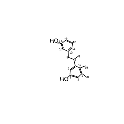 Cc1cc(O)cc(C(C)Cc2cccc(O)c2)c1C